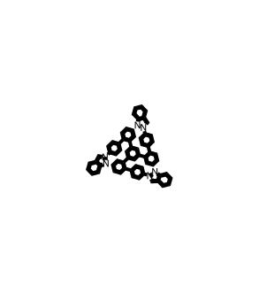 c1ccc(-c2cc(-c3ccccc3-c3ccc(-n4cc5ccccc5n4)cc3)cc(-c3ccccc3-c3ccc(-n4cc5ccccc5n4)cc3)c2)c(-c2ccc(-n3cc4ccccc4n3)cc2)c1